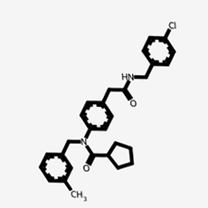 Cc1cccc(CN(C(=O)C2CCCC2)c2ccc(CC(=O)NCc3ccc(Cl)cc3)cc2)c1